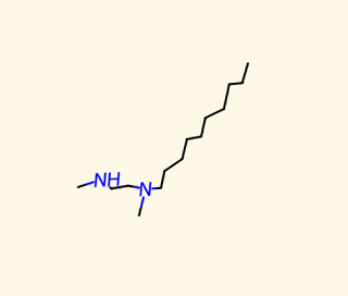 CCCCCCCCCCN(C)CCNC